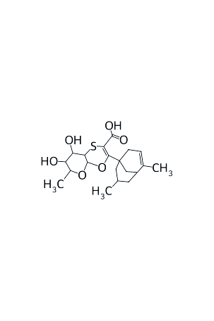 CC1=CCC2(C3=C(C(=O)O)SC4C(O3)OC(C)C(O)C4O)CC(C)CC1C2